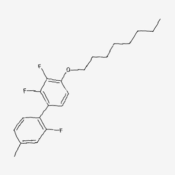 CCCCCCCCOc1ccc(-c2ccc(C)cc2F)c(F)c1F